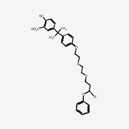 CCC(CCOCCOCCOc1ccc(C(C)(C)c2ccc(O)c(C(=O)O)c2)cc1)Oc1ccccc1